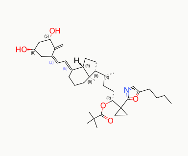 C=C1/C(=C\C=C2/CCC[C@]3(C)[C@@H]([C@H](C)CC[C@@H](OC(=O)C(C)(C)C)C4(c5ncc(CCCC)o5)CC4)CC[C@@H]23)C[C@@H](O)C[C@@H]1O